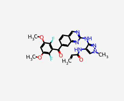 C=CC(=O)Nc1cn(C)nc1Nc1ncc2ccc(C(=O)c3c(F)c(OC)cc(OC)c3F)cc2n1